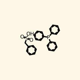 O=S(=O)(O)Cc1ccccc1.c1ccc(P(c2ccccc2)c2ccccc2)cc1